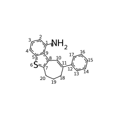 Nc1cccc2sc3c(c12)C=C(c1ccccc1)CCC3